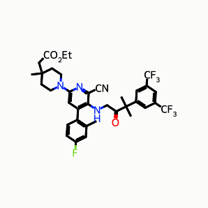 CCOC(=O)CC1(C)CCN(c2cc(-c3ccc(F)cc3C)c(NCC(=O)C(C)(C)c3cc(C(F)(F)F)cc(C(F)(F)F)c3)c(C#N)n2)CC1